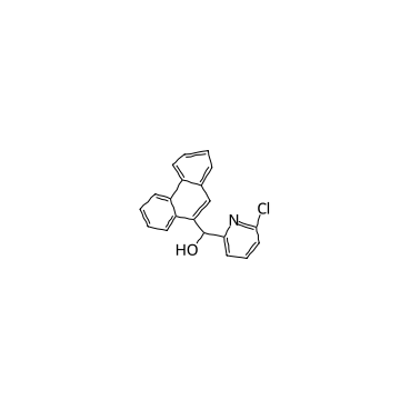 OC(c1cccc(Cl)n1)c1cc2ccccc2c2ccccc12